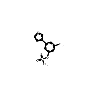 O=S(=O)(Oc1cc(-c2ccsc2)cc(C(F)(F)F)c1)C(F)(F)F